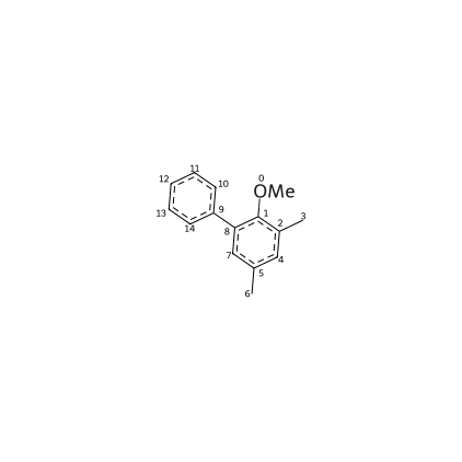 COc1c(C)cc(C)cc1-c1ccccc1